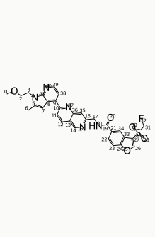 COCCn1c(C)cc2c(-c3ccc4cnc(CNC(=O)c5ccc6occ(S(=O)(=O)CF)c6c5)cc4n3)ccnc21